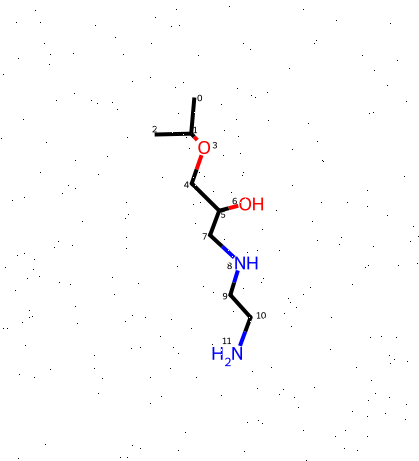 CC(C)OCC(O)CNCCN